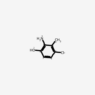 Cc1c(Cl)ccc(O)c1N